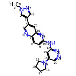 Cn1cc(-c2cnc3ccc(Nc4cc(N5CCCC5)cnn4)nc3c2)cn1